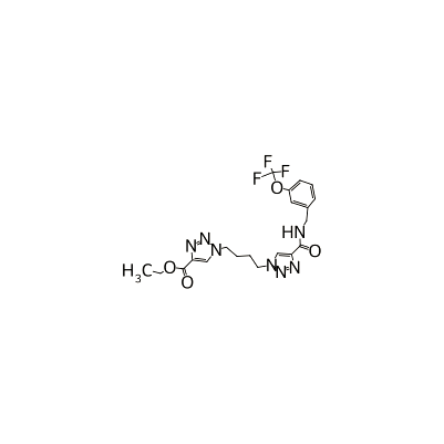 CCOC(=O)c1cn(CCCCn2cc(C(=O)NCc3cccc(OC(F)(F)F)c3)nn2)nn1